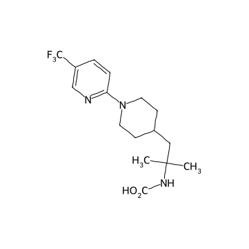 CC(C)(CC1CCN(c2ccc(C(F)(F)F)cn2)CC1)NC(=O)O